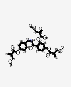 C=C(COC)C(=O)Oc1ccc(/C=C\C(=O)c2ccc(OC(=O)C(=C)COC)cc2OC(=O)C(=C)COC)cc1